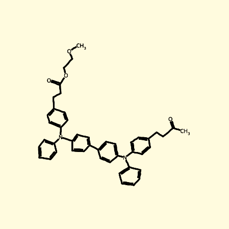 COCCOC(=O)CCc1ccc(N(c2ccccc2)c2ccc(-c3ccc(N(c4ccccc4)c4ccc(CCC(C)=O)cc4)cc3)cc2)cc1